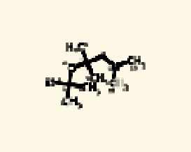 CCC(C)(C)OC(C)(C)CN(C)C